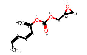 C=C(/C=C\C=C/C)OC(=O)OCC1CO1